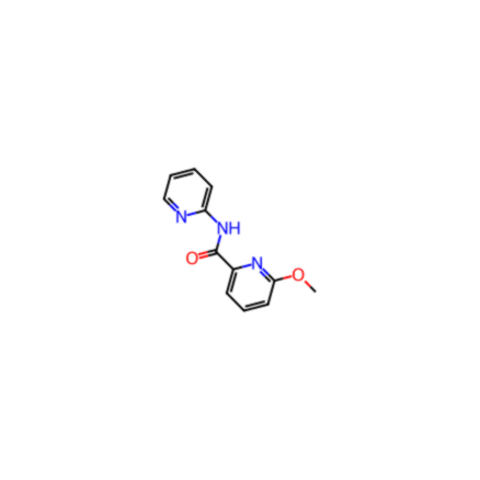 COc1cccc(C(=O)Nc2ccccn2)n1